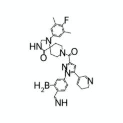 Bc1cc(-n2nc(C(=O)N3CCC4(CC3)C(=O)NCN4c3cc(C)c(F)c(C)c3)cc2C2=CCCN=C2)ccc1C=N